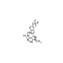 Cn1nc(-c2cc3cc(OC(F)(F)F)ccc3[nH]2)c2c(N)ncnc21